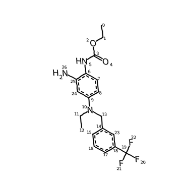 CCOC(=O)Nc1ccc(N(CC)Cc2cccc(C(F)(F)F)c2)cc1N